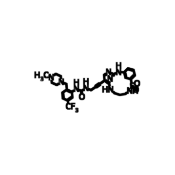 CN1CCN(Cc2ccc(C(F)(F)F)cc2NC(=O)NCC#Cc2cnc3nc2NCCCNS(=O)(=O)c2cccc(c2)N3)CC1